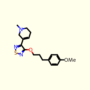 COc1ccc(CCCOc2nsnc2C2=CCCN(C)C2)cc1